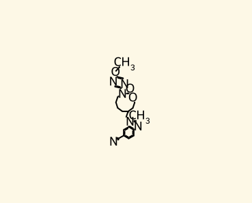 CCOc1cnc(N2CCCC[C@](C)(Cn3cnc4ccc(C#N)cc43)CCOC2=O)cn1